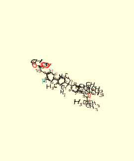 CCC(CC)(c1ccc(CCC(O[Si](C)(C)C(C)(C)C)C(C)(C)C)c(C)c1)c1ccc(-c2ccc(CC(=O)OC)c(F)c2)c(C)c1